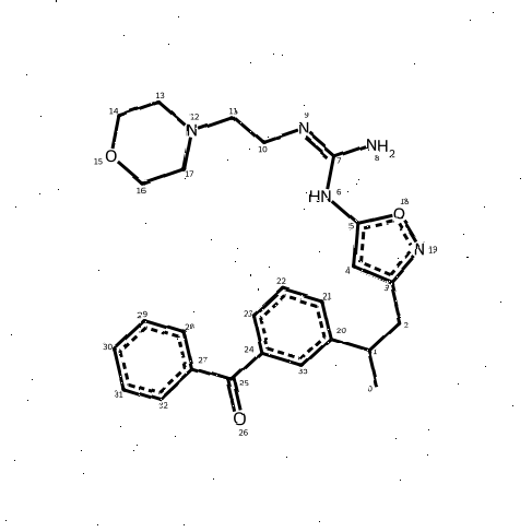 CC(Cc1cc(NC(N)=NCCN2CCOCC2)on1)c1cccc(C(=O)c2ccccc2)c1